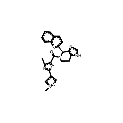 Cc1nc(-c2cnn(C)c2)oc1C(=O)N1CCc2[nH]cnc2[C@@H]1c1ccc2ccccc2n1